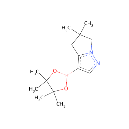 CC1(C)Cc2c(B3OC(C)(C)C(C)(C)O3)cnn2C1